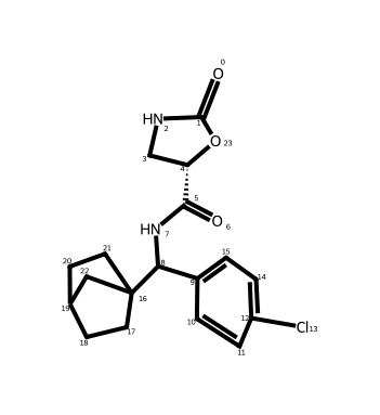 O=C1NC[C@@H](C(=O)NC(c2ccc(Cl)cc2)C23CCC(CC2)C3)O1